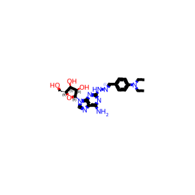 CCN(CC)c1ccc(/C=N/Nc2nc(N)c3ncn([C@@H]4O[C@H](CO)[C@@H](O)[C@H]4O)c3n2)cc1